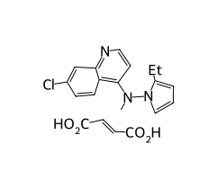 CCc1cccn1N(C)c1ccnc2cc(Cl)ccc12.O=C(O)C=CC(=O)O